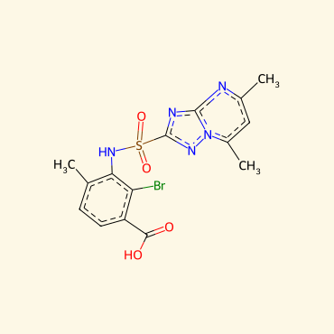 Cc1cc(C)n2nc(S(=O)(=O)Nc3c(C)ccc(C(=O)O)c3Br)nc2n1